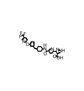 O=C(NC1CCC(=Cc2cccc(Oc3ccc(C(F)(F)F)cn3)c2)CC1)c1ccc(-c2n[nH]cc2C(=O)O)nc1